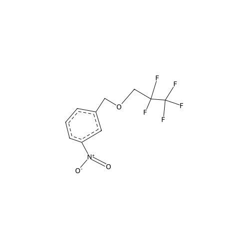 O=[N+]([O-])c1cccc(COCC(F)(F)C(F)(F)F)c1